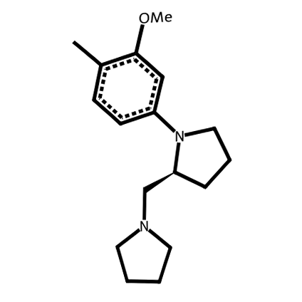 COc1cc(N2CCC[C@H]2CN2CCCC2)ccc1C